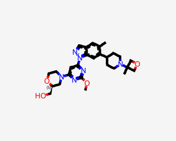 COc1nc(N2CCO[C@H](CO)C2)cc(-n2ncc3cc(C)c(C4CCN(C5(C)COC5)CC4)cc32)n1